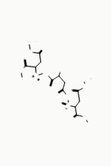 CCCCCCCCCCOC(=O)CC(C(=O)OCCCCCCCCCC)S(=O)(=O)OC(=O)CC(C(=O)OS(=O)(=O)C(CC(=O)OCCCCCCCCCC)C(=O)OCCCCCCCCCC)S(=O)(=O)O